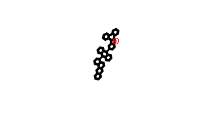 c1ccc2cc3c(ccc4c(-c5c6ccccc6c(-c6ccc7oc8c9ccccc9c9ccccc9c8c7c6)c6ccccc56)cccc43)cc2c1